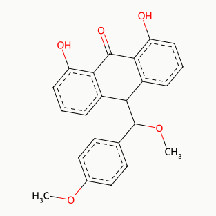 COc1ccc(C(OC)C2c3cccc(O)c3C(=O)c3c(O)cccc32)cc1